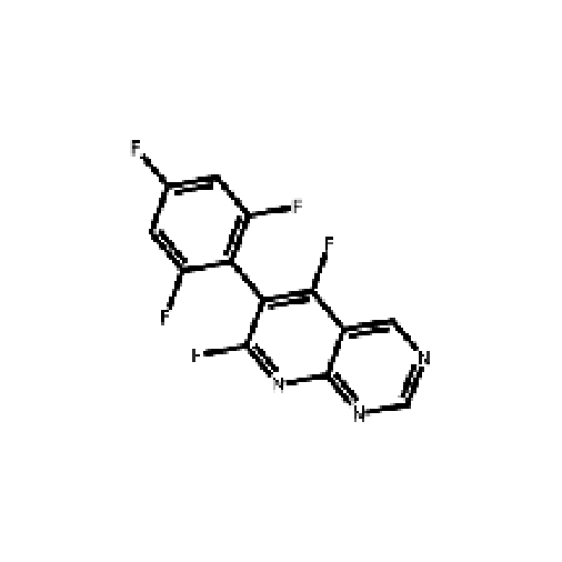 Fc1cc(F)c(-c2c(F)nc3ncncc3c2F)c(F)c1